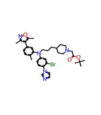 Cc1ccc(-c2c(C)noc2C)cc1N(CCCC1CCN(CC(=O)OC(C)(C)C)CC1)c1ccc(-n2ccnc2)c(Br)c1